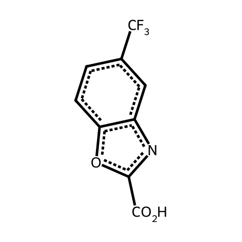 O=C(O)c1nc2cc(C(F)(F)F)ccc2o1